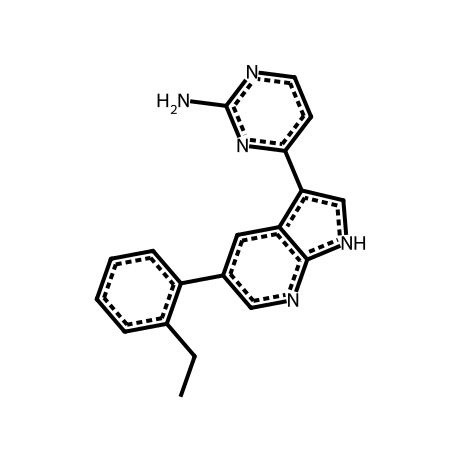 CCc1ccccc1-c1cnc2[nH]cc(-c3ccnc(N)n3)c2c1